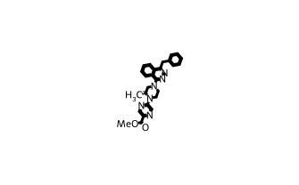 COC(=O)c1cnc(N2CCN(c3nnc(Cc4ccccc4)c4ccccc34)C[C@H]2C)cn1